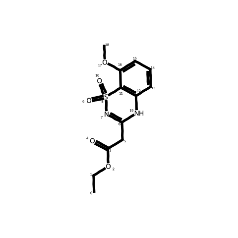 CCOC(=O)CC1=NS(=O)(=O)c2c(cccc2OC)N1